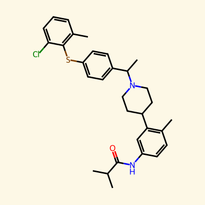 Cc1ccc(NC(=O)C(C)C)cc1C1CCN(C(C)c2ccc(Sc3c(C)cccc3Cl)cc2)CC1